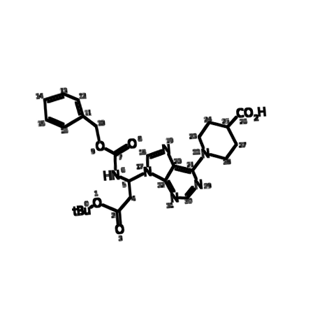 CC(C)(C)OC(=O)CC(NC(=O)OCc1ccccc1)n1cnc2c(N3CCC(C(=O)O)CC3)ncnc21